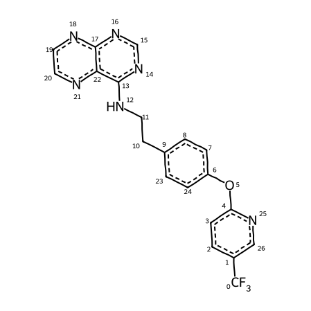 FC(F)(F)c1ccc(Oc2ccc(CCNc3ncnc4nccnc34)cc2)nc1